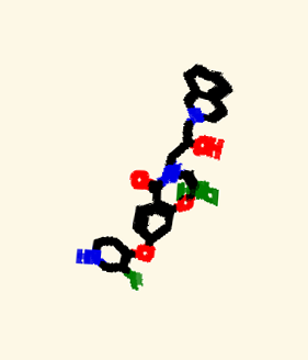 Cl.Cl.O=C1c2ccc(OC3CCNCC3F)cc2OCCN1C[C@H](O)CN1CCc2ccccc2C1